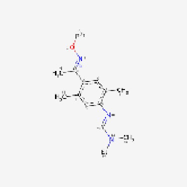 CCCO/N=C(\C)c1cc(C)c(N=CN(C)CC)cc1C